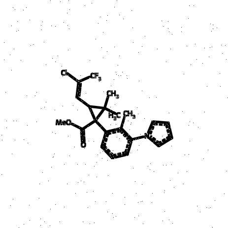 COC(=O)C1(c2cccc(-n3cccc3)c2C)C(/C=C(/Cl)C(F)(F)F)C1(C)C